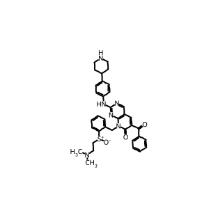 CN(C)CC[S+]([O-])c1ccccc1Cn1c(=O)c(C(=O)c2ccccc2)cc2cnc(Nc3ccc(C4CCNCC4)cc3)nc21